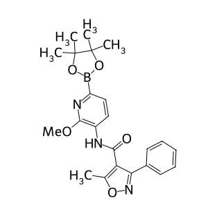 COc1nc(B2OC(C)(C)C(C)(C)O2)ccc1NC(=O)c1c(-c2ccccc2)noc1C